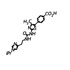 Cc1nc(NC(=O)NCCc2cn(C(C)C)cn2)sc1-c1ccc(C(=O)O)cc1